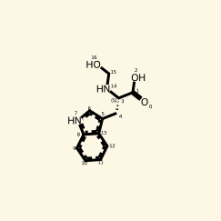 O=C(O)[C@H](Cc1c[nH]c2ccccc12)NCO